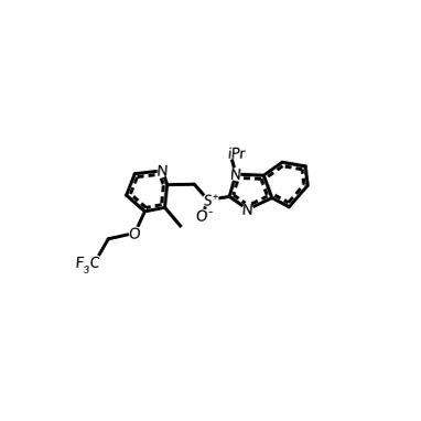 Cc1c(OCC(F)(F)F)ccnc1C[S+]([O-])c1nc2ccccc2n1C(C)C